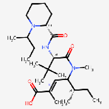 CCC(C)N1CCCC[C@@H]1C(=O)N[C@H](C(=O)N(C)C(/C=C(\C)C(=O)O)[C@@H](C)CC)C(C)(C)C